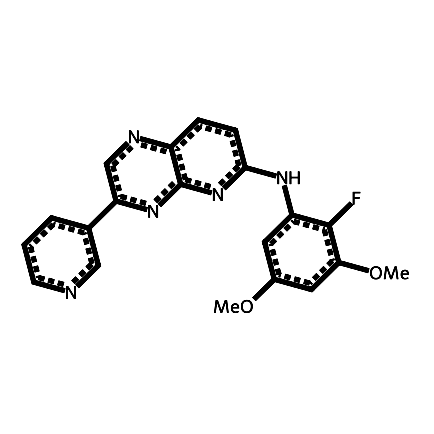 COc1cc(Nc2ccc3ncc(-c4cccnc4)nc3n2)c(F)c(OC)c1